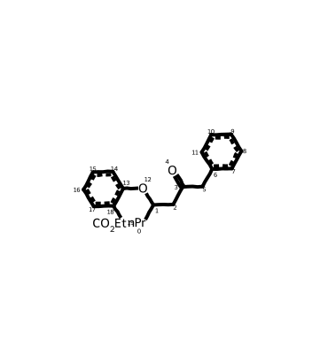 CCCC(CC(=O)Cc1ccccc1)Oc1ccccc1C(=O)OCC